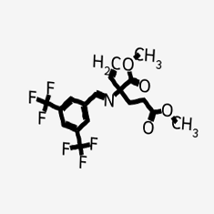 C=CC(CCC(=O)OC)(N=Cc1cc(C(F)(F)F)cc(C(F)(F)F)c1)C(=O)OC